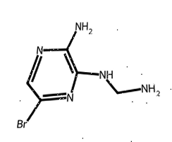 NCNc1nc(Br)cnc1N